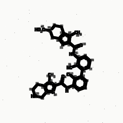 Cn1c(C(=O)Nc2cccc(-c3cccc(NC(=O)c4nc5c(n4C)CCN(C(=O)O)C5)c3C#N)c2Cl)nc2c1CCNC2